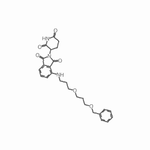 O=C1CCC(N2C(=O)c3cccc(NCCCOCCCOCc4ccccc4)c3C2=O)C(=O)N1